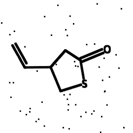 C=CC1CSC(=O)C1